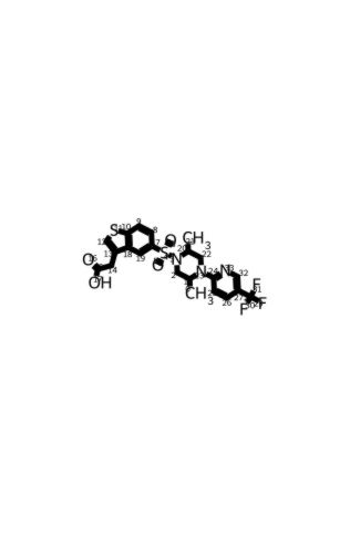 CC1CN(S(=O)(=O)c2ccc3scc(CC(=O)O)c3c2)C(C)CN1c1ccc(C(F)(F)F)cn1